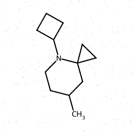 CC1CCN(C2CCC2)C2(CC2)C1